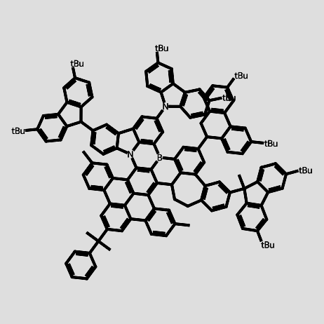 Cc1ccc2c(c1)c1c3c4c(c5c6cc(C)ccc6c6cc(C(C)(C)c7ccccc7)cc2c6c15)-n1c2ccc(C5c6ccc(C(C)(C)C)cc6-c6cc(C(C)(C)C)ccc65)cc2c2cc(-n5c6ccc(C(C)(C)C)cc6c6cc(C(C)(C)C)ccc65)cc(c21)B4c1cc(C2Cc4ccc(C(C)(C)C)cc4-c4cc(C(C)(C)C)ccc42)cc2c1C3CCc1ccc(C3(C)c4ccc(C(C)(C)C)cc4-c4cc(C(C)(C)C)ccc43)cc1-2